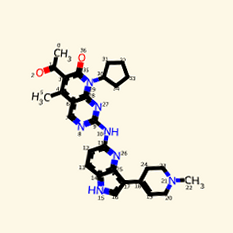 CC(=O)c1c(C)c2cnc(Nc3ccc4[nH]cc(C5=CCN(C)CC5)c4n3)nc2n(C2CCCC2)c1=O